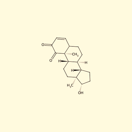 C[C@]12CC[C@H]3[C@@H](CCC4C=CC(=O)C(=O)[C@@]43C)[C@@H]1CC[C@@H]2O